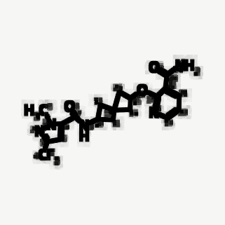 Cn1nc(C(F)(F)F)cc1C(=O)NC1CC2(C1)CC(Oc1ncccc1C(N)=O)C2